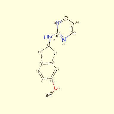 CC(C)Oc1ccc2c(c1)CC(Nc1nc[c]cn1)C2